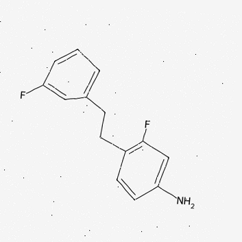 Nc1ccc(CCc2cccc(F)c2)c(F)c1